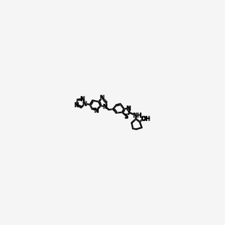 OC1CCCCC1Nc1nc2ccc(Cn3cnc4cc(-n5cncn5)cnc43)cc2s1